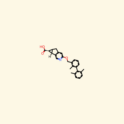 Cc1cccc(C)c1-c1cccc(COc2cc3c(cn2)[C@H]2C(C3)[C@@H]2C(=O)O)c1C